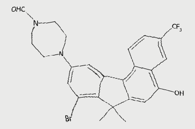 CC1(C)c2cc(O)c3cc(C(F)(F)F)ccc3c2-c2cc(N3CCN(C=O)CC3)cc(Br)c21